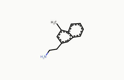 Cc1cc(CCN)cc2ccccc12